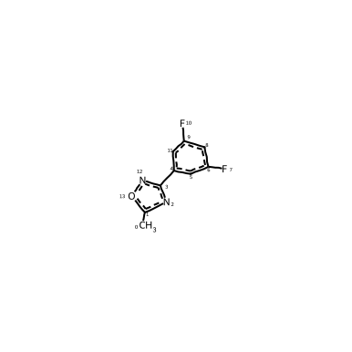 Cc1nc(-c2cc(F)cc(F)c2)no1